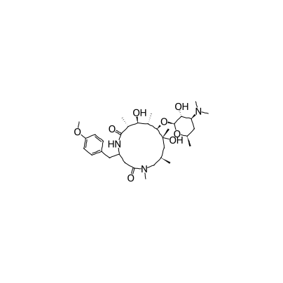 COc1ccc(CC2CC(=O)N(C)C[C@H](C)C[C@@](C)(O)[C@H](O[C@@H]3O[C@H](C)C[C@H](N(C)C)[C@H]3O)[C@@H](C)[C@H](O)[C@@H](C)C(=O)N2)cc1